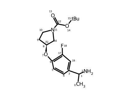 CC(N)c1ccc(O[C@H]2CCN(C(=O)OC(C)(C)C)C2)c(F)c1